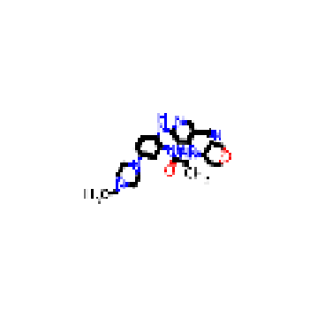 C=CC(=O)Nc1cc(N2CCN(CC)CC2)ccc1Nc1cc(NC2CCOCC2)c(C#N)cn1